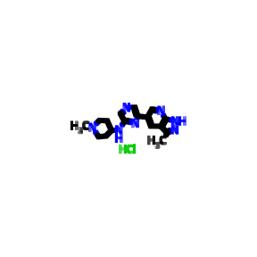 Cc1n[nH]c2ncc(-c3cncc(NC4CCN(C)CC4)n3)cc12.Cl